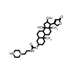 CC(=O)OC1CC2(O)C3CCC4CC(OC(=O)NCCN5CCNCC5)CCC4(C)C3CCC2(C)C1C1=CC(=O)OC1